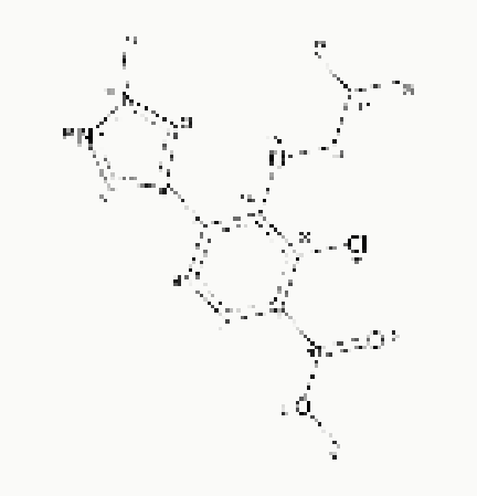 COC(=O)c1ccc(-c2cnn(C)c2)c(OCC(C)C)c1Cl